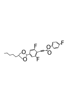 CCCCCC1COC(c2cc(F)c(C#CC(=O)Oc3ccc(F)cc3)c(F)c2)OC1